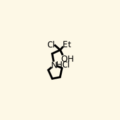 CCC(O)(Cl)CN1CCCC1.Cl